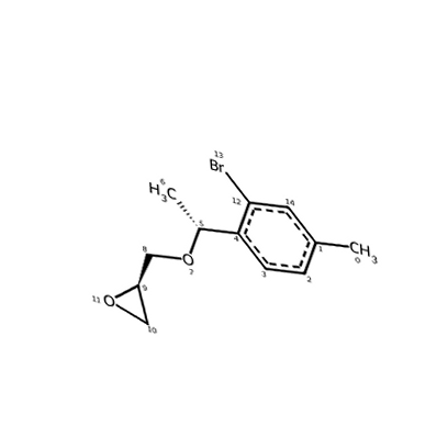 Cc1ccc([C@@H](C)OC[C@H]2CO2)c(Br)c1